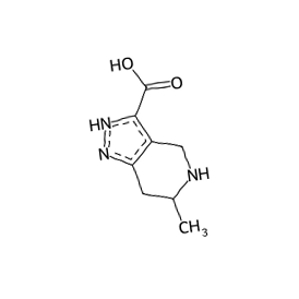 CC1Cc2n[nH]c(C(=O)O)c2CN1